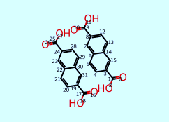 O=C(O)c1ccc2cc(C(=O)O)ccc2c1.O=C(O)c1ccc2cc(C(=O)O)ccc2c1